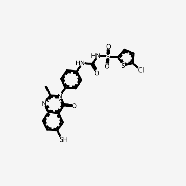 Cc1nc2ccc(S)cc2c(=O)n1-c1ccc(NC(=O)NS(=O)(=O)c2ccc(Cl)s2)cc1